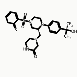 C[C@@](O)(c1ccc(N2CCN(S(=O)(=O)C3=CC=CCC3=S)C[C@@H]2CN2CCNC(=O)C2)cc1)C(F)(F)F